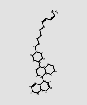 N/C=C\C=C/CCCCCCC1CCC(C2CCC(C3C=CCC4CCC=CC43)C3CCCCC23)CC1